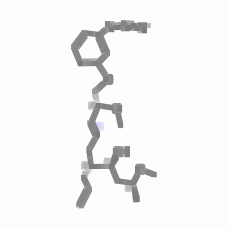 C=CC[C@H](C/C=C/[C@H](COc1cccc(N=[N+]=[N-])c1)OC)[C@@H](O)C[C@H](C)OC